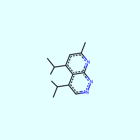 Cc1cc(C(C)C)c2c(C(C)C)cnnc2n1